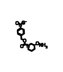 NO[C@@H]1CCCN(C(=O)OCc2ccc([N+](=O)[O-])cc2)C1